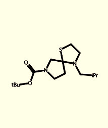 CC(C)CN1CCSC12CCN(C(=O)OC(C)(C)C)C2